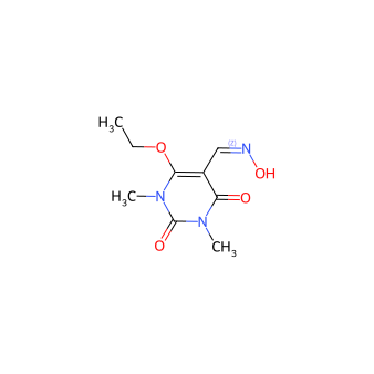 CCOc1c(/C=N\O)c(=O)n(C)c(=O)n1C